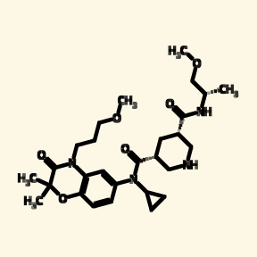 COCCCN1C(=O)C(C)(C)Oc2ccc(N(C(=O)[C@H]3CNC[C@@H](C(=O)N[C@@H](C)COC)C3)C3CC3)cc21